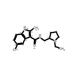 CCN1CCCC1CNC(=O)c1c(C)[nH]c2ccc(Cl)cc12